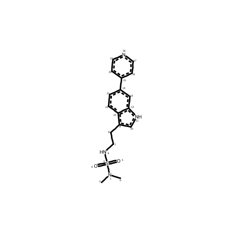 CN(C)S(=O)(=O)NCCc1c[nH]c2cc(-c3ccncc3)ccc12